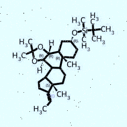 C/C=C1\CCC2C3C(CC[C@]12C)[C@@]1(C)CC[C@@H](O[Si](C)(C)C(C)(C)C)CC1[C@H]1OC(C)(C)O[C@H]31